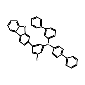 Brc1cc(-c2ccc3c(c2)oc2ccccc23)cc(N(c2ccc(-c3ccccc3)cc2)c2cccc(-c3ccccc3)c2)c1